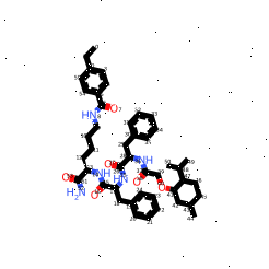 CCc1ccc(C(=O)NCCCC[C@@H](NC(=O)C(Cc2ccccc2)NC(=O)C(Cc2ccccc2)NC(=O)COC2CC(C)CCC2C(C)C)C(N)=O)cc1